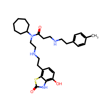 Cc1ccc(CCNCCC(=O)N(CCNCCc2ccc(O)c3[nH]c(=O)sc23)C2CCCCCC2)cc1